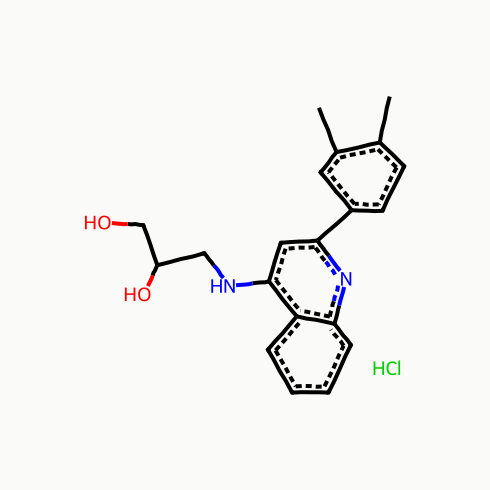 Cc1ccc(-c2cc(NCC(O)CO)c3ccccc3n2)cc1C.Cl